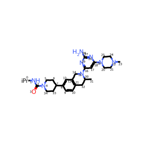 CC(C)NC(=O)N1CCC(c2ccc3c(c2)CN(c2cc(N4CCN(C)CC4)nc(N)n2)C(C)C3)CC1